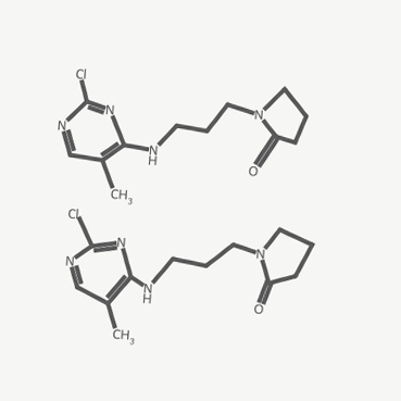 Cc1cnc(Cl)nc1NCCCN1CCCC1=O.Cc1cnc(Cl)nc1NCCCN1CCCC1=O